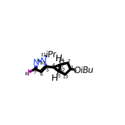 CC(C)COC1C[C@@H]2C(c3cc(I)nn3C(C)C)[C@@H]2C1